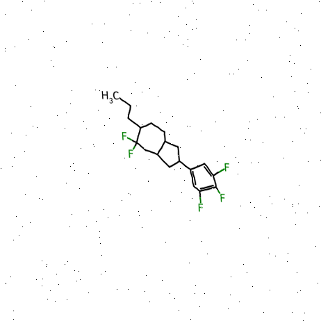 CCCC1CCC2CC(c3cc(F)c(F)c(F)c3)CC2CC1(F)F